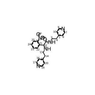 O=C(NCCc1ccncc1)C(NCCc1ccncc1)c1ccccc1[N+](=O)[O-]